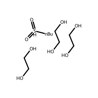 CCCC[SH](=O)=O.OCCO.OCCO.OCCO